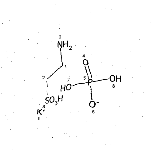 NCCS(=O)(=O)O.O=P([O-])(O)O.[K+]